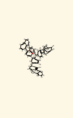 c1ccc(-c2cccc3cccc(-c4ccc(N(c5ccc(-c6ccc7oc8ccccc8c7c6)cc5)c5ccc(C67CC8CC(CC(C8)C6)C7)cc5)cc4)c23)cc1